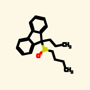 CCCC[S+]([O-])C1(CCC)c2ccccc2-c2ccccc21